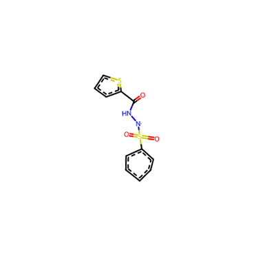 O=C(N[N]S(=O)(=O)c1ccccc1)c1cccs1